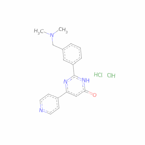 CN(C)Cc1cccc(-c2nc(-c3ccncc3)cc(=O)[nH]2)c1.Cl.Cl